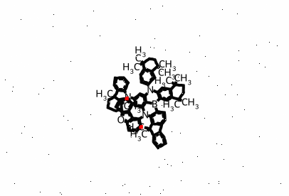 CC1(C)CCC(C)(C)c2cc(N3c4cc5c(cc4B4c6ccc7c(c6N(c6cccc8oc9ccccc9c68)c6cc(N8c9ccccc9C9(C)CCCCC89C)cc3c64)C(C)(C)c3ccccc3-7)C(C)(C)CCC5(C)C)ccc21